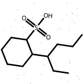 CCCC(CC)C1CCCCC1S(=O)(=O)O